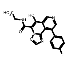 O=C(O)CNC(=O)c1c(O)c2cncc(-c3ccc(F)cc3)c2c2ncnn12